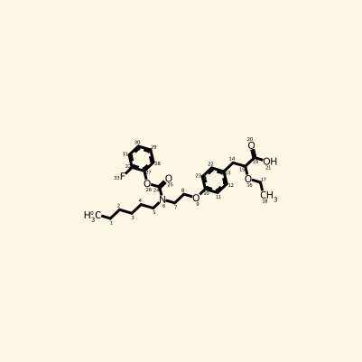 CCCCCCN(CCOc1ccc(CC(OCC)C(=O)O)cc1)C(=O)Oc1ccccc1F